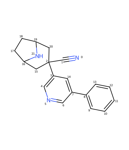 N#CC1(c2cncc(-c3ccccc3)c2)CC2CCC(C1)N2